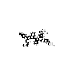 COc1ccc(C(=Cc2ccc(-c3ccc(C=C(c4ccc(OC)cc4)c4ccc(OC)cc4)c4ccccc34)c3ccccc23)c2ccc(OC)cc2)cc1